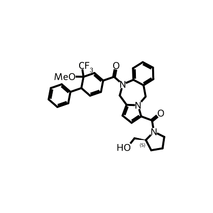 COC1(C(F)(F)F)C=C(C(=O)N2Cc3ccc(C(=O)N4CCC[C@H]4CO)n3Cc3ccccc32)C=CC1c1ccccc1